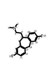 CN(C)CCC1Cc2cc(F)ccc2Cc2cc(F)ccc21